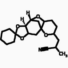 CC(C#N)CC1CCC2O[C@@H]3CC2(CC2OC4(CCCCC4)O[C@H]23)O1